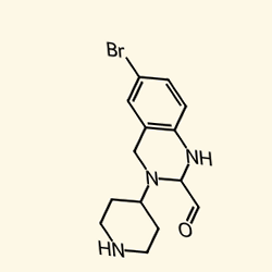 O=CC1Nc2ccc(Br)cc2CN1C1CCNCC1